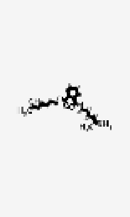 CC(C)CCCCCOC(=O)C1CCCCC1C(=O)OCCCCC(C)C